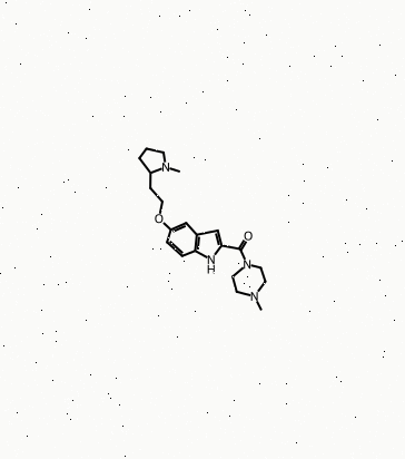 CN1CCN(C(=O)c2cc3cc(OCCC4CCCN4C)ccc3[nH]2)CC1